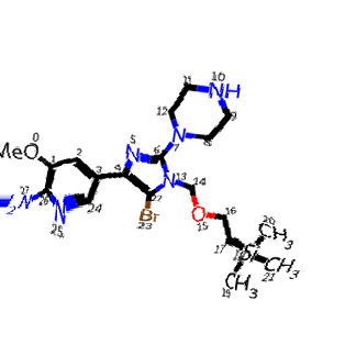 COc1cc(-c2nc(N3CCNCC3)n(COCC[Si](C)(C)C)c2Br)cnc1N